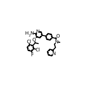 CC(Oc1cc(-c2ccc(C(=O)N(C)CCc3ccccn3)cc2)cnc1N)c1c(Cl)ccc(F)c1Cl